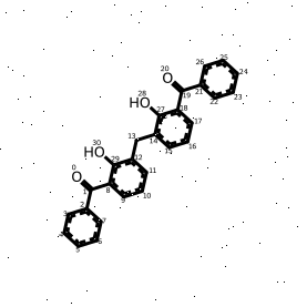 O=C(c1ccccc1)c1cccc(Cc2cccc(C(=O)c3ccccc3)c2O)c1O